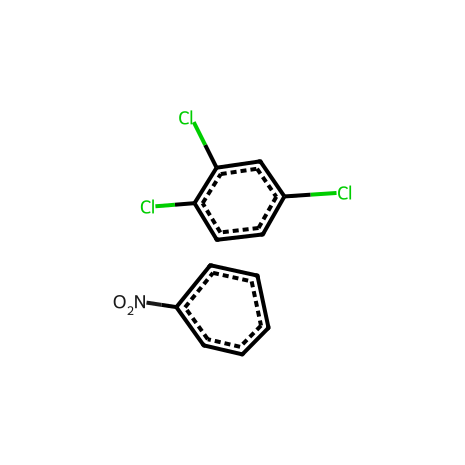 Clc1ccc(Cl)c(Cl)c1.O=[N+]([O-])c1ccccc1